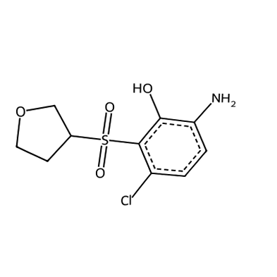 Nc1ccc(Cl)c(S(=O)(=O)C2CCOC2)c1O